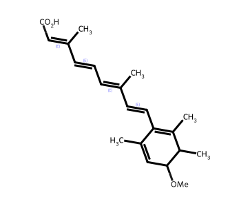 COC1C=C(C)C(/C=C/C(C)=C/C=C/C(C)=C/C(=O)O)=C(C)C1C